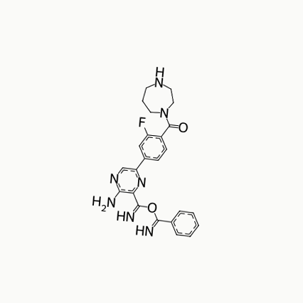 N=C(OC(=N)c1nc(-c2ccc(C(=O)N3CCCNCC3)c(F)c2)cnc1N)c1ccccc1